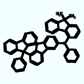 CC1(C)c2ccccc2-c2c(N(c3ccccc3)c3ccc4oc5c(C6(c7ccccc7)c7ccccc7-c7ccccc76)cccc5c4c3)cccc21